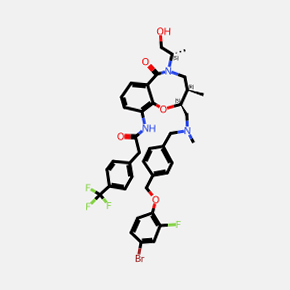 C[C@@H]1CN([C@@H](C)CO)C(=O)c2cccc(NC(=O)Cc3ccc(C(F)(F)F)cc3)c2O[C@@H]1CN(C)Cc1ccc(COc2ccc(Br)cc2F)cc1